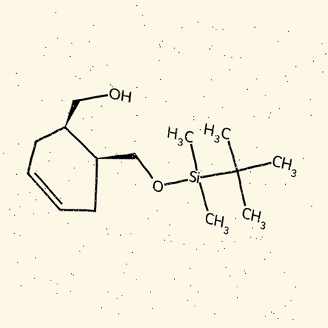 CC(C)(C)[Si](C)(C)OC[C@H]1CC=CC[C@H]1CO